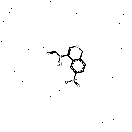 O=CN(S)C1=COCc2ccc([N+](=O)[O-])cc21